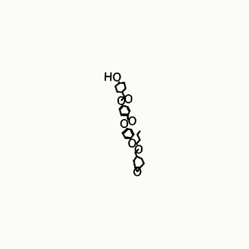 CCCC(OCC1CCC2OC2C1)Oc1ccc(OC(=O)c2ccc(OC(=O)C3CCC(O)CC3)cc2)cc1